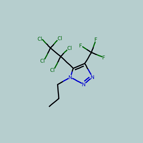 CCCn1nnc(C(F)(F)F)c1C(Cl)(Cl)C(Cl)(Cl)Cl